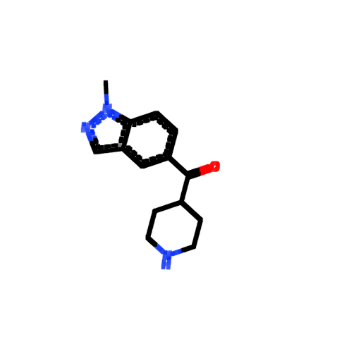 Cn1ncc2cc(C(=O)C3CCNCC3)ccc21